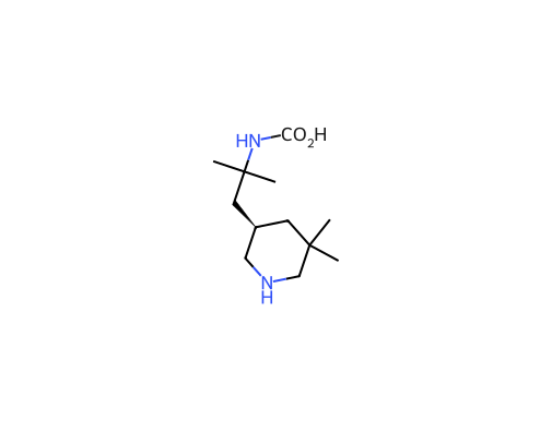 CC1(C)CNC[C@@H](CC(C)(C)NC(=O)O)C1